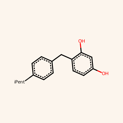 CCCC(C)c1ccc(Cc2ccc(O)cc2O)cc1